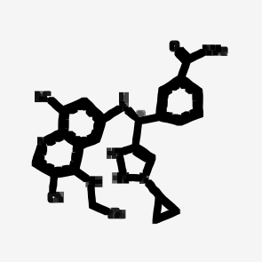 CNC(=O)c1cccc([C@H](Nc2cc(C#N)c3ncc(C#N)c(NCC(C)(C)C)c3c2)C2=CN(C3CC3)NN2)c1